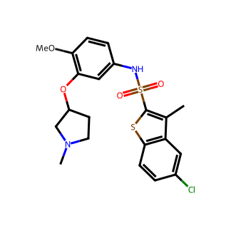 COc1ccc(NS(=O)(=O)c2sc3ccc(Cl)cc3c2C)cc1OC1CCN(C)C1